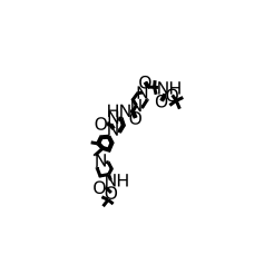 Cc1cc(-n2ccc(NC(=O)N3CCN(C(=O)C(C)(C)NC(=O)OC(C)(C)C)CC3)nc2=O)ccc1CN1CCC(NC(=O)OC(C)(C)C)CC1